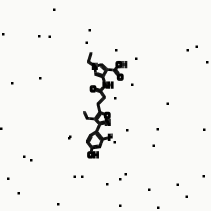 CCc1c(-c2ccc(O)cc2F)noc1CCC(=O)Nc1cn(CC)cc1C(=O)O